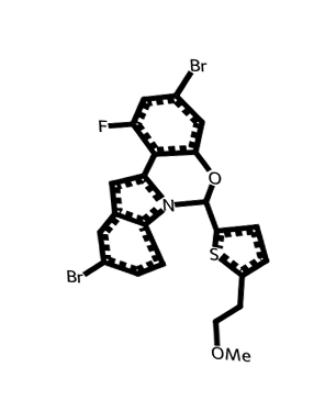 COCCc1ccc(C2Oc3cc(Br)cc(F)c3-c3cc4cc(Br)ccc4n32)s1